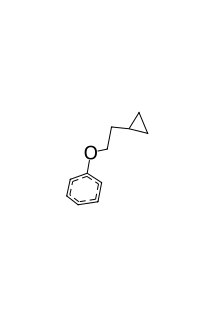 c1ccc(OCCC2CC2)cc1